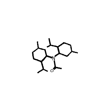 CC(=O)N(C1CC(C)CCC1C(C)C)C1CC(C)CCC1C(C)C